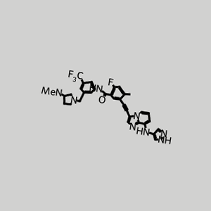 CNC1CCN(Cc2cc(NC(=O)c3cc(C#Cc4cnc5c(Nc6cn[nH]c6)cccn45)c(C)cc3F)cc(C(F)(F)F)c2)C1